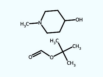 CC(C)(C)OC=O.CN1CCC(O)CC1